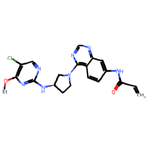 C=CC(=O)Nc1ccc2c(N3CC[C@@H](Nc4ncc(Cl)c(OCC)n4)C3)ncnc2c1